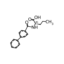 CCC[C@@H](NC(=O)c1ccc(-c2ccccc2)cc1)C(=O)O